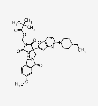 CCN1CCN(c2ccc3oc([C@]4(CN5Cc6ccc(OC)cc6C5=O)NC(=O)N(COC(=O)C(C)(C)C)C4=O)cc3n2)CC1